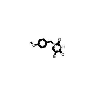 COc1ccc(Cn2cc(Br)c(=O)[nH]c2=O)cc1